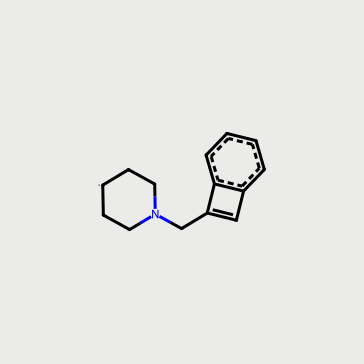 [CH]1CCN(CC2=Cc3ccccc32)CC1